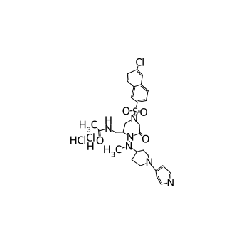 CC(=O)NCC1CN(S(=O)(=O)c2ccc3cc(Cl)ccc3c2)CC(=O)N1N(C)C1CCN(c2ccncc2)CC1.Cl.Cl